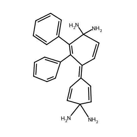 NC1(N)C=CC(=C2C=CC(N)(N)C(c3ccccc3)=C2c2ccccc2)C=C1